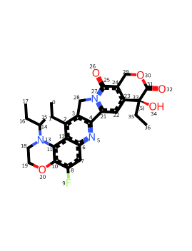 CCc1c2c(nc3cc(F)c4c(c13)N(C(C)CC)CCO4)-c1cc3c(c(=O)n1C2)COC(=O)[C@]3(O)CC